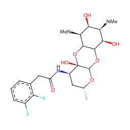 CN[C@@H]1[C@H](O)[C@H](NC)C2O[C@]3(O)C(OC2[C@@H]1O)O[C@H](C)C[C@H]3NC(=O)Cc1cccc(F)c1F